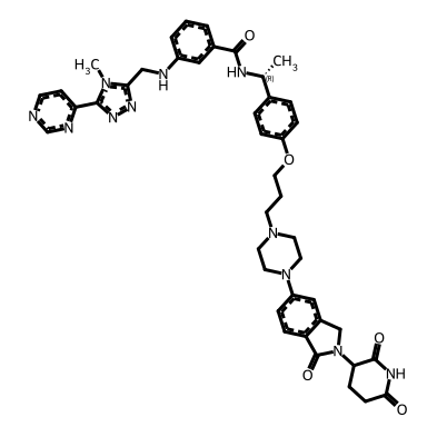 C[C@@H](NC(=O)c1cccc(NCc2nnc(-c3ccncn3)n2C)c1)c1ccc(OCCCN2CCN(c3ccc4c(c3)CN(C3CCC(=O)NC3=O)C4=O)CC2)cc1